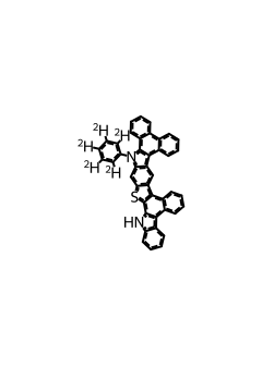 [2H]c1c([2H])c([2H])c(-n2c3cc4sc5c6[nH]c7ccccc7c6c6ccccc6c5c4cc3c3c4ccccc4c4ccccc4c32)c([2H])c1[2H]